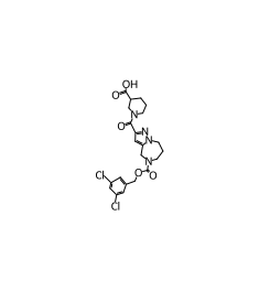 O=C(O)C1CCCN(C(=O)c2cc3n(n2)CCCN(C(=O)OCc2cc(Cl)cc(Cl)c2)C3)C1